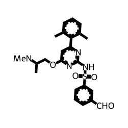 CNC(C)COc1cc(-c2c(C)cccc2C)nc(NS(=O)(=O)c2cccc(C=O)c2)n1